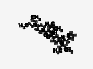 CCCN(CCC)C1CCN(C(=O)[C@H](CC(C)C)NC(=O)c2ccc3c(c2)nc(Cc2cccs2)n3C(CC)CC)CC1